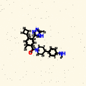 CNc1ccc(C2CCN(C(=O)c3cc(-c4nnc(C)[nH]4)c(C4CCC4)cc3C)CC2)cc1